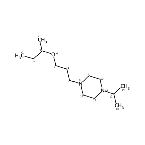 CCC(C)OCCCN1CCN(C(C)C)CC1